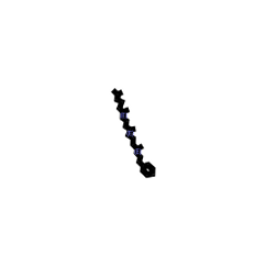 CC(C)=CCC/C(C)=C/CC/C(C)=C/CC/C(C)=C/CCc1ccccc1